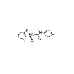 Cc1ccc(N(C)C(=O)NC(=O)c2c(F)cccc2F)cc1